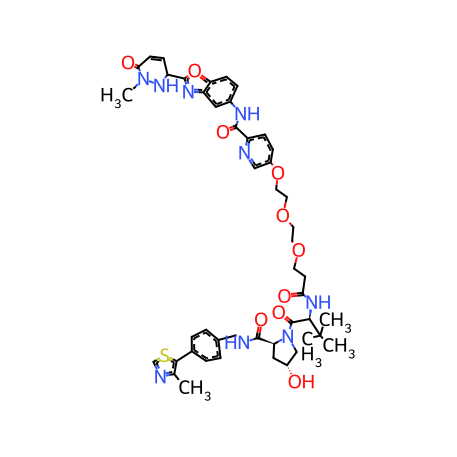 Cc1ncsc1-c1ccc(CNC(=O)[C@@H]2C[C@@H](O)CN2C(=O)[C@@H](NC(=O)CCOCCOCCOc2ccc(C(=O)Nc3ccc4oc(C5C=CC(=O)N(C)N5)nc4c3)nc2)C(C)(C)C)cc1